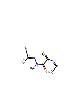 C=C(/N=C\C)C(=O)N(C)C=C(C)C